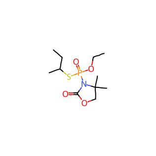 CCOP(=O)(SC(C)CC)N1C(=O)OCC1(C)C